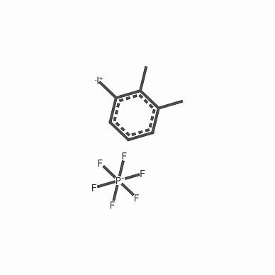 Cc1cccc([I+])c1C.F[P-](F)(F)(F)(F)F